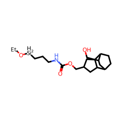 CCO[SiH2]CCCNC(=O)OCC1CC2C3CCC(C(CO)C3)C2C1